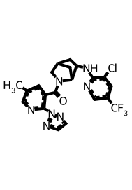 Cc1cnc(-n2nccn2)c(C(=O)N2CC3CC(Nc4ncc(C(F)(F)F)cc4Cl)C2C3)c1